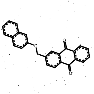 O=C1c2ccccc2C(=O)c2cc(COc3ccc4ccccc4c3)ccc21